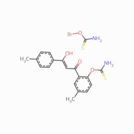 Cc1ccc(C(O)=CC(=O)c2cc(C)ccc2OC(N)=S)cc1.NC(=S)OBr